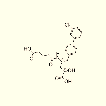 O=C(O)CCCC(=O)N[C@H](Cc1ccc(-c2cccc(Cl)c2)cc1)C[C@@H](O)C(=O)O